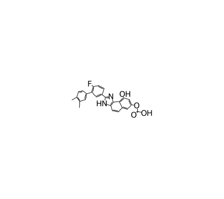 Cc1ccc(-c2cc(-c3nc4c(ccc5cc(OC(=O)O)cc(O)c54)[nH]3)ccc2F)cc1C